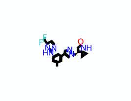 Cc1cc(Nc2nccc(C(F)F)n2)cc(-c2cnn(C[C@H]3CC(=O)NC34CC4)c2)c1